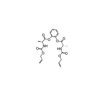 C=CCOC(=O)N[C@@H](C)C(=O)Oc1ccccc1OC(=O)[C@H](C)NC(=O)OCC=C